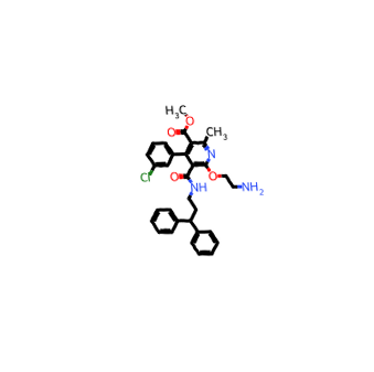 COC(=O)c1c(C)nc(OCCN)c(C(=O)NCCC(c2ccccc2)c2ccccc2)c1-c1cccc(Cl)c1